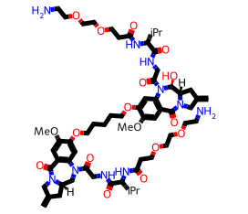 C=C1C[C@H]2CN(C(=O)CNC(=O)C(NC(=O)CCOCCOCCN)C(C)C)c3cc(OCCCCCOc4cc5c(cc4OC)C(=O)N4CC(=C)C[C@H]4[C@H](O)N5C(=O)CNC(=O)C(NC(=O)CCOCCOCCN)C(C)C)c(OC)cc3C(=O)N2C1